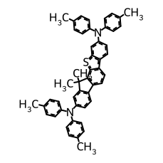 Cc1ccc(N(c2ccc(C)cc2)c2ccc3c(c2)C(C)(C)c2c-3ccc3c2sc2cc(N(c4ccc(C)cc4)c4ccc(C)cc4)ccc23)cc1